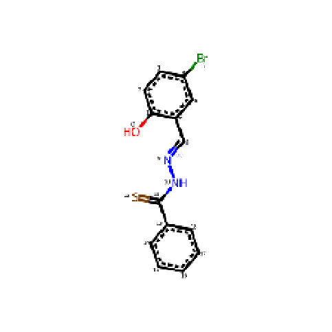 Oc1ccc(Br)cc1/C=N/NC(=S)c1ccccc1